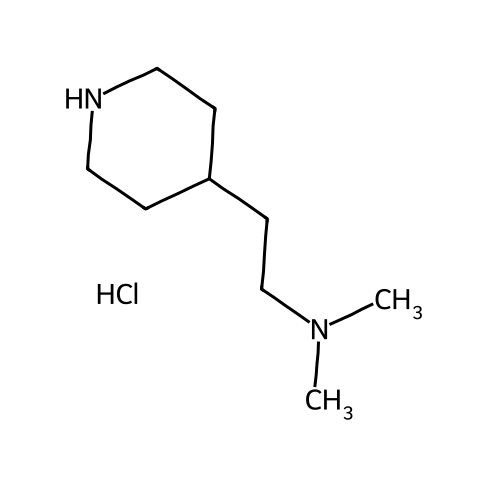 CN(C)CCC1CCNCC1.Cl